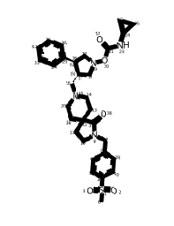 CS(=O)(=O)c1ccc(CN2CCC3(CCN(C[C@H]4CN(OC(=O)NC5CC5)C[C@@H]4c4ccccc4)CC3)C2=O)cc1